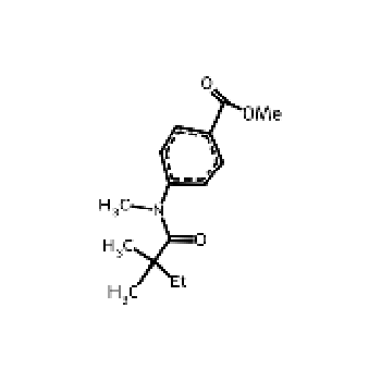 CCC(C)(C)C(=O)N(C)c1ccc(C(=O)OC)cc1